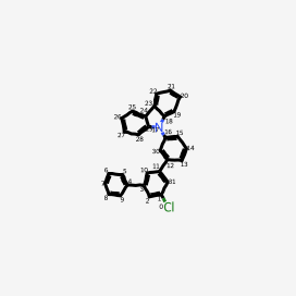 Clc1cc(-c2ccccc2)cc(-c2cccc(-n3c4ccccc4c4ccccc43)c2)c1